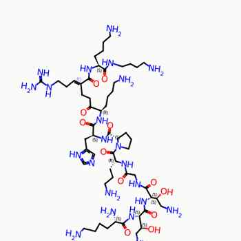 N=C(N)NCC/C=C(\CCC(=O)[C@@H](CCCCN)NC(=O)[C@H](Cc1cnc[nH]1)NC(=O)[C@@H]1CCCN1C(=O)[C@@H](CCCN)NC(=O)CNC(=O)[C@@H](NC(=O)[C@@H](NC(=O)[C@@H](N)CCCCN)[C@@H](O)CN)[C@@H](O)CN)C(=O)N[C@@H](CCCCN)C(=O)NCCCCN